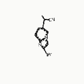 CC(C)c1cn2cc(C(C)C#N)ccc2n1